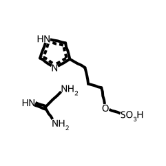 N=C(N)N.O=S(=O)(O)OCCCc1c[nH]cn1